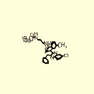 Cc1ccc(C(=O)NCCCNC(=O)OC(C)(C)C)c(C(c2nc3cc(Cl)ccc3nc2Cc2ccccc2)C2CC2)c1